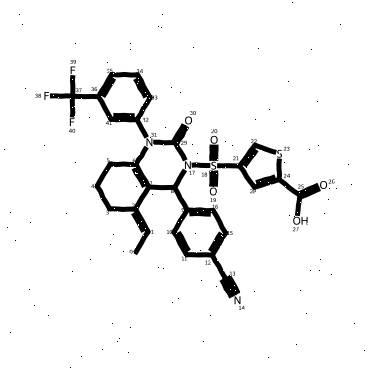 CC=C1CCCC2=C1C(c1ccc(C#N)cc1)N(S(=O)(=O)c1csc(C(=O)O)c1)C(=O)N2c1cccc(C(F)(F)F)c1